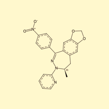 C[C@@H]1Cc2cc3c(cc2C(c2ccc([N+](=O)[O-])cc2)=NN1c1ccccn1)OCO3